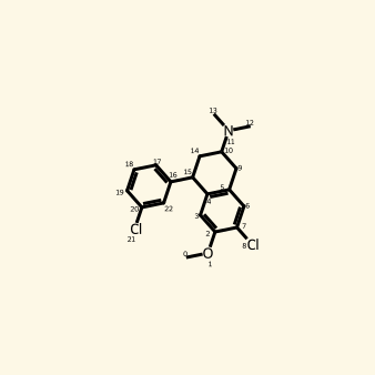 COc1cc2c(cc1Cl)CC(N(C)C)CC2c1cccc(Cl)c1